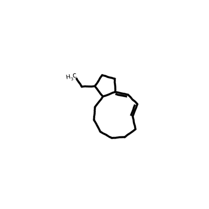 CCC1CC/C2=C/C=C/CCCCCCC21